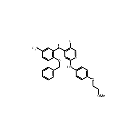 COCCOc1ccc(Nc2ncc(F)c(Nc3cc([N+](=O)[O-])ccc3OCc3ccccc3)n2)cc1